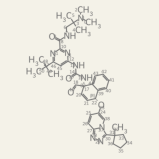 CN(C)C(C)(C)CNC(=O)c1nc(NC(=O)N[C@@]2(C=O)C=C[C@@H](Oc3ccc4nnc(C5(C)CCCC5)n4c3)c3ccccc32)cc(C(C)(C)C)n1